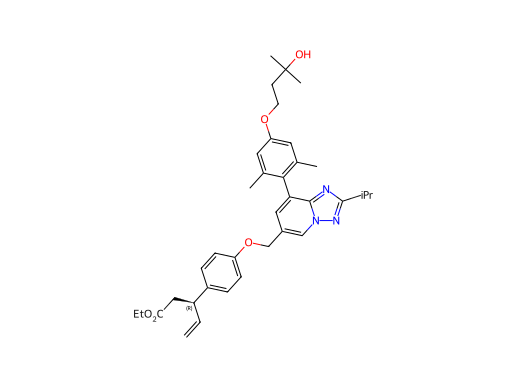 C=C[C@@H](CC(=O)OCC)c1ccc(OCc2cc(-c3c(C)cc(OCCC(C)(C)O)cc3C)c3nc(C(C)C)nn3c2)cc1